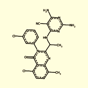 Cc1ccc(Cl)c2c(=O)n(-c3cccc(Cl)c3)c(C(C)Nc3nc(N)nc(N)c3C#N)nc12